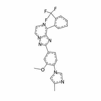 COc1cc(-c2nc3c(-c4ccccc4C(F)(F)F)nccn3n2)ccc1-n1cnc(C)c1